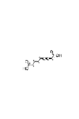 O=C(O)C=C=C=C/C=C/CC(=O)O